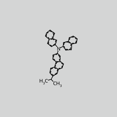 CC(C)c1ccc2c(ccc3cc(N(c4ccc5ccccc5c4)c4ccc5ccccc5c4)ccc32)c1